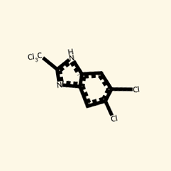 Clc1cc2nc(C(Cl)(Cl)Cl)[nH]c2cc1Cl